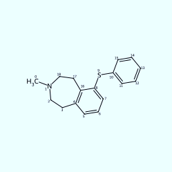 CN1CCc2cccc(Sc3ccccc3)c2CC1